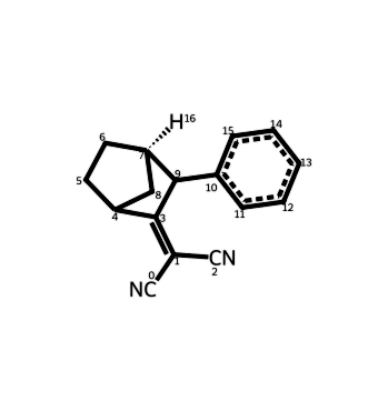 N#CC(C#N)=C1C2CC[C@H](C2)C1c1ccccc1